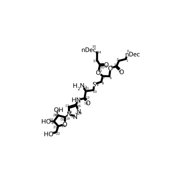 CCCCCCCCCCCCC(=O)OCC(CSCC(N)C(=O)Nc1cn([C@H]2OC(CO)[C@@H](O)[C@@H]2O)nn1)OC(=O)CCCCCCCCCCCC